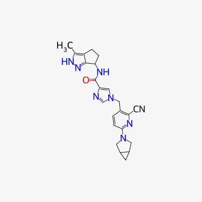 Cc1[nH]nc2c1CCC2NC(=O)c1cn(Cc2ccc(N3CC4CC4C3)nc2C#N)cn1